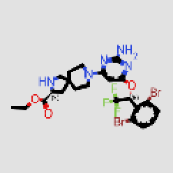 CCOC(=O)[C@@H]1CC2(CCN(c3cc(O[C@H](c4c(Br)cccc4Br)C(F)(F)F)nc(N)n3)CC2)CN1